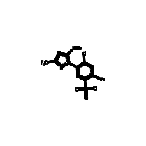 CNc1nc(C(F)(F)F)nn1-c1cc(S(=O)(=O)Cl)c(C(C)C)cc1Cl